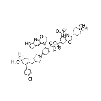 CC1(C)CCC(CN2CCN(c3ccc(C(=O)NS(=O)(=O)c4cc5c(c([N+](=O)[O-])c4)N[C@H](C4CCC(C)(O)CC4)CO5)c(N4CCCOc5nc6[nH]ccc6cc54)c3)CC2)=C(c2ccc(Cl)cc2)C1